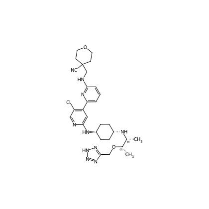 C[C@H](OCc1nn[nH]n1)[C@@H](C)N[C@H]1CC[C@H](Nc2cc(-c3cccc(NCC4(C#N)CCOCC4)n3)c(Cl)cn2)CC1